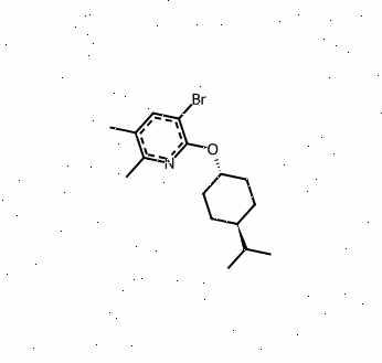 Cc1cc(Br)c(O[C@H]2CC[C@H](C(C)C)CC2)nc1C